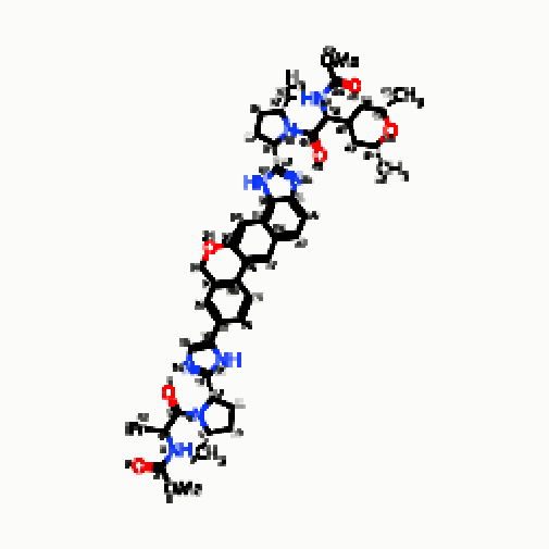 COC(=O)N[C@H](C(=O)N1[C@@H](C)CC[C@H]1c1ncc(-c2ccc3c(c2)COc2cc4c(ccc5nc([C@@H]6CC[C@H](C)N6C(=O)[C@@H](NC(=O)OC)C6C[C@@H](C)O[C@@H](C)C6)[nH]c54)cc2-3)[nH]1)C(C)C